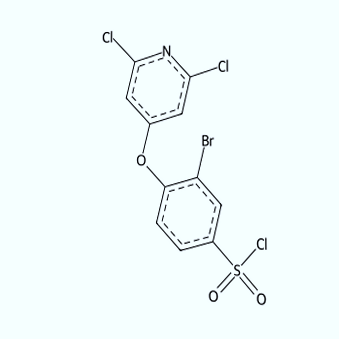 O=S(=O)(Cl)c1ccc(Oc2cc(Cl)nc(Cl)c2)c(Br)c1